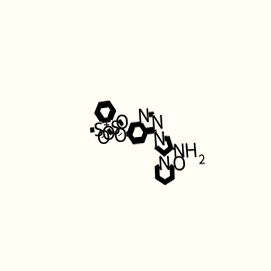 C[S+]([O-])c1ccccc1S(=O)(=O)Oc1ccc2c(N3C[C@H](N)[C@@H](N4CCCCC4=O)C3)ncnc2c1